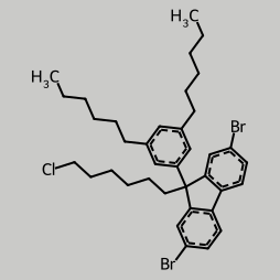 CCCCCCc1cc(CCCCCC)cc(C2(CCCCCCCl)c3cc(Br)ccc3-c3ccc(Br)cc32)c1